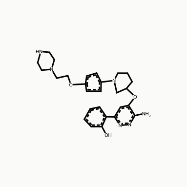 Nc1nnc(-c2ccccc2O)cc1OC1CCCN(c2ccc(OCCN3CCNCC3)cc2)C1